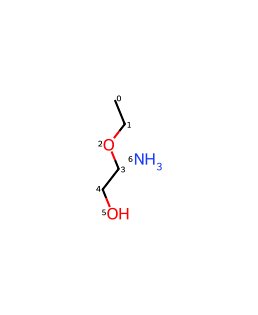 CCOCCO.N